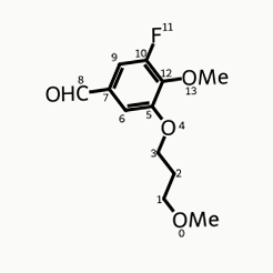 COCCCOc1cc(C=O)cc(F)c1OC